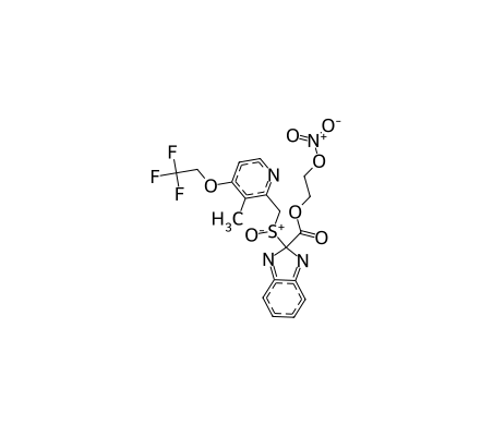 Cc1c(OCC(F)(F)F)ccnc1C[S+]([O-])C1(C(=O)OCCO[N+](=O)[O-])N=c2ccccc2=N1